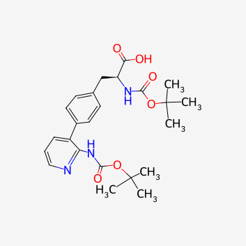 CC(C)(C)OC(=O)Nc1ncccc1-c1ccc(C[C@H](NC(=O)OC(C)(C)C)C(=O)O)cc1